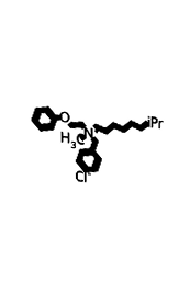 CC(C)CCCCCC[N+](C)(CCOc1ccccc1)Cc1ccccc1.[Cl-]